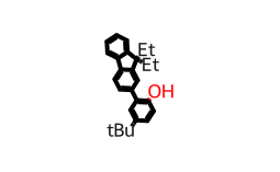 CCC1(CC)c2ccccc2-c2ccc(-c3cc(C(C)(C)C)ccc3O)cc21